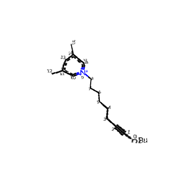 CCCCC#CCCCCCC[n+]1cc(C)cc(C)c1